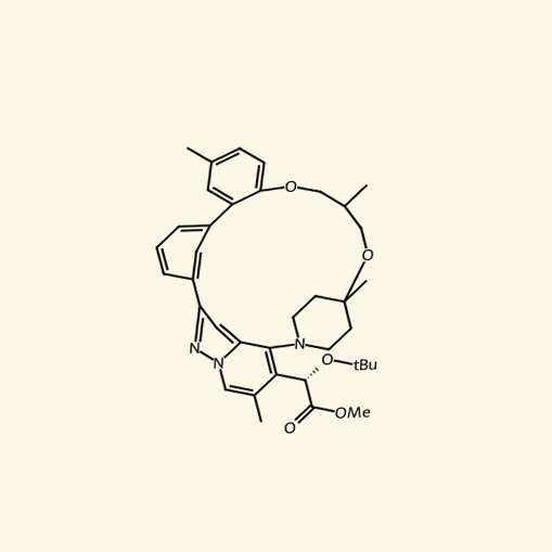 COC(=O)[C@@H](OC(C)(C)C)c1c(C)cn2nc3cc2c1N1CCC(C)(CC1)OCC(C)COc1ccc(C)cc1-c1cccc-3c1